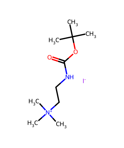 CC(C)(C)OC(=O)NCC[N+](C)(C)C.[I-]